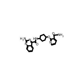 NC(=O)c1cccnc1OC1CCC(NC(=O)c2nc(N)nc3ccccc23)CC1